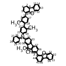 Cc1cc(-c2cccc3c2oc2ccccc23)ccc1-c1ccc(N(c2ccccc2)c2ccc3c(c2)C(C)(C)c2cc(-c4cccc5c4oc4ccccc45)ccc2-3)cc1C